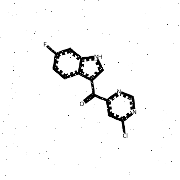 O=C(c1cc(Cl)ncn1)c1c[nH]c2cc(F)ccc12